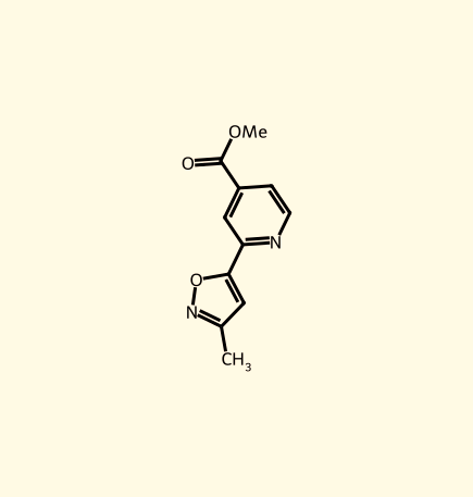 COC(=O)c1ccnc(-c2cc(C)no2)c1